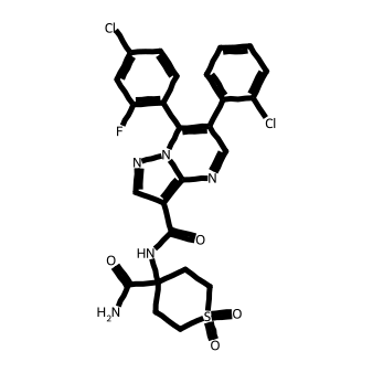 NC(=O)C1(NC(=O)c2cnn3c(-c4ccc(Cl)cc4F)c(-c4ccccc4Cl)cnc23)CCS(=O)(=O)CC1